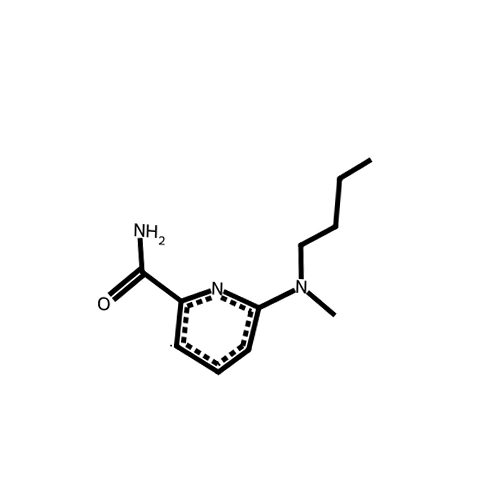 CCCCN(C)c1cc[c]c(C(N)=O)n1